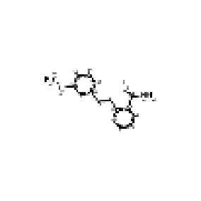 NC(=O)c1ccccc1CCc1cccc(OC(F)(F)F)c1